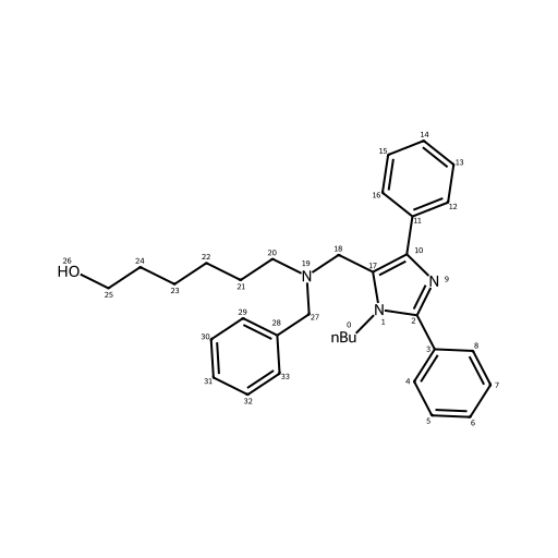 CCCCn1c(-c2ccccc2)nc(-c2ccccc2)c1CN(CCCCCCO)Cc1ccccc1